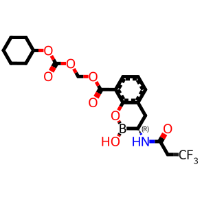 O=C(CC(F)(F)F)N[C@H]1Cc2cccc(C(=O)OCOC(=O)OC3CCCCC3)c2OB1O